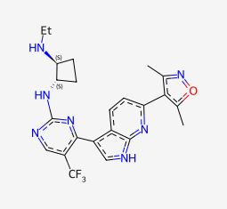 CCN[C@H]1CC[C@@H]1Nc1ncc(C(F)(F)F)c(-c2c[nH]c3nc(-c4c(C)noc4C)ccc23)n1